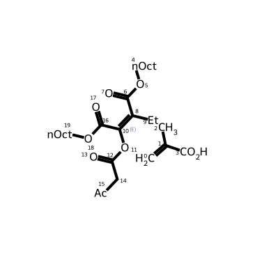 C=C(C)C(=O)O.CCCCCCCCOC(=O)/C(CC)=C(/OC(=O)CC(C)=O)C(=O)OCCCCCCCC